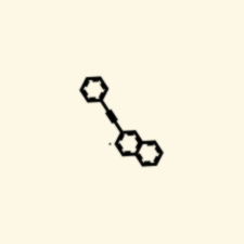 C(#Cc1ccccc1)c1[c]cc2ccccc2c1